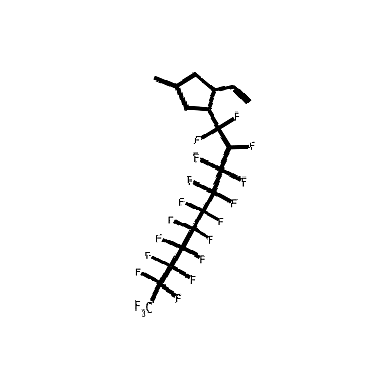 C=CC1CC(C)CC1C(F)(F)C(F)C(F)(F)C(F)(F)C(F)(F)C(F)(F)C(F)(F)C(F)(F)C(F)(F)C(F)(F)F